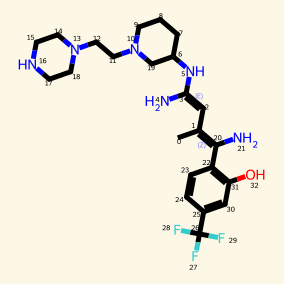 CC(/C=C(\N)NC1CCCN(CCN2CCNCC2)C1)=C(/N)c1ccc(C(F)(F)F)cc1O